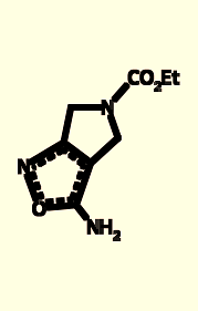 CCOC(=O)N1Cc2noc(N)c2C1